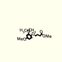 COC(=O)CCCOc1ccc(OC)cc1N(C)C